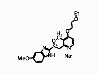 CCOCCOc1ccnc(C[S+]([O-])c2nc3cc(OC)ccc3[nH]2)c1C.[Na]